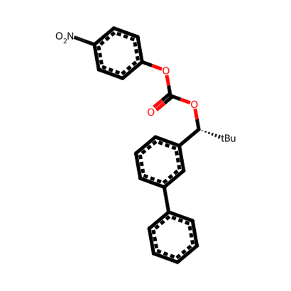 CC(C)(C)[C@@H](OC(=O)Oc1ccc([N+](=O)[O-])cc1)c1cccc(-c2ccccc2)c1